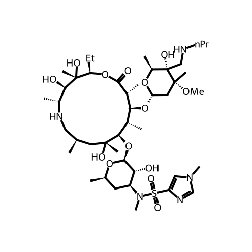 CCCNC[C@]1(O)[C@H](C)O[C@@H](O[C@H]2[C@H](C)[C@@H](O[C@@H]3O[C@H](C)C[C@H](N(C)S(=O)(=O)c4cn(C)cn4)[C@H]3O)[C@](C)(O)C[C@@H](C)CN[C@H](C)[C@@H](O)[C@](C)(O)[C@@H](CC)OC(=O)[C@@H]2C)C[C@@]1(C)OC